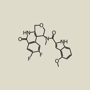 COc1cccc2[nH]c(C(=O)N(C)[C@@H]3COCc4[nH]c(=O)c5cc(F)c(F)cc5c43)cc12